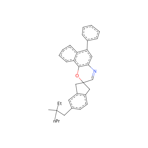 CCCC(C)(CC)Cc1ccc2c(c1)CC1(C=Nc3cc(-c4ccccc4)c4ccccc4c3O1)C2